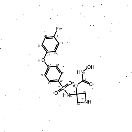 O=C(NO)OC1(NS(=O)(=O)c2ccc(Oc3ccc(F)cc3)cc2)CNC1